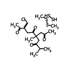 CC(=O)CC(C)(CC(=O)C(C)C)C(=O)CC(=CCl)C(C)=O.CSSC.SS